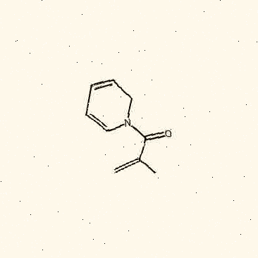 C=C(C)C(=O)N1C=CC=CC1